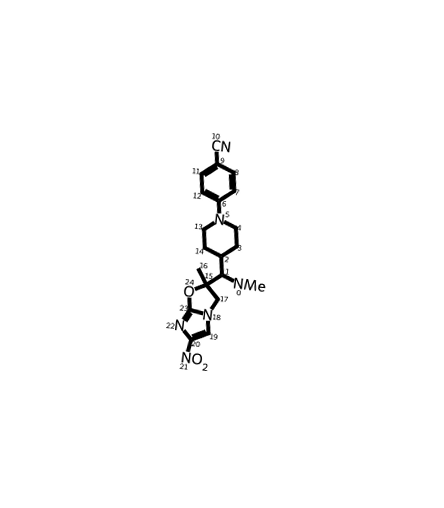 CNC(C1CCN(c2ccc(C#N)cc2)CC1)C1(C)Cn2cc([N+](=O)[O-])nc2O1